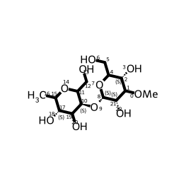 COC1[C@@H](O)C(CO)O[C@@H](O[C@@H]2C(CO)OC(C)[C@@H](O)C2O)[C@H]1O